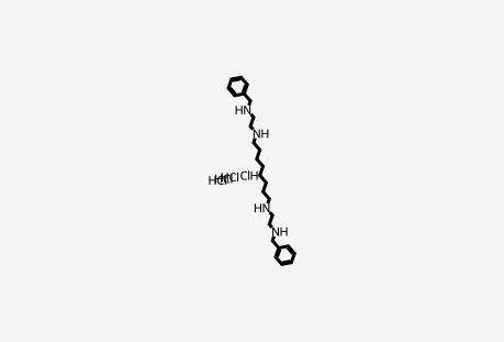 Cl.Cl.Cl.Cl.c1ccc(CNCCNCCCCCCCCNCCNCc2ccccc2)cc1